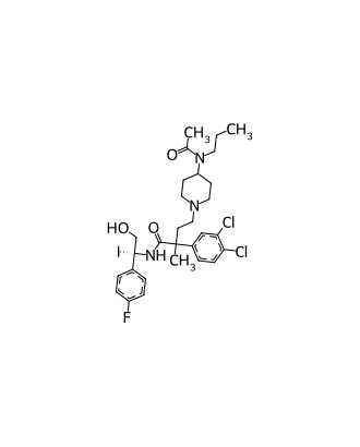 CCCN(C(C)=O)C1CCN(CCC(C)(C(=O)N[C@](I)(CO)c2ccc(F)cc2)c2ccc(Cl)c(Cl)c2)CC1